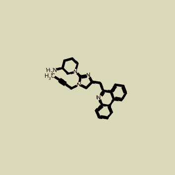 CC#CCN1CC(Cc2nc3ccccc3c3ccccc23)N=C1N1CCCC(N)C1